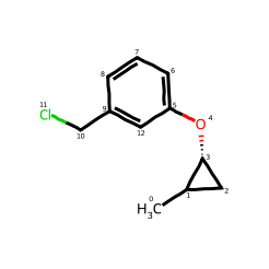 CC1C[C@H]1Oc1cccc(CCl)c1